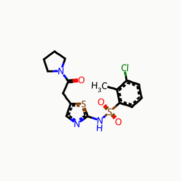 Cc1c(Cl)cccc1S(=O)(=O)Nc1ncc(CC(=O)N2CCCC2)s1